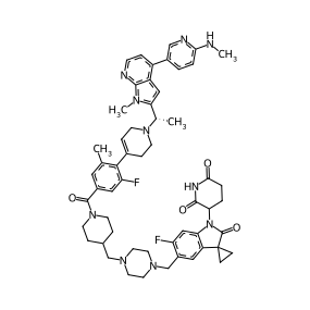 CNc1ccc(-c2ccnc3c2cc([C@H](C)N2CC=C(c4c(C)cc(C(=O)N5CCC(CN6CCN(Cc7cc8c(cc7F)N(C7CCC(=O)NC7=O)C(=O)C87CC7)CC6)CC5)cc4F)CC2)n3C)cn1